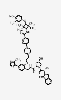 Cc1ncsc1-c1ccc(CNC(=O)[C@@H]2C[C@@H](O)CN2C(=O)[C@H](C(C)C)N2Cc3ccccc3C2=O)c(OCCN2CCN(c3ccc(C(=O)N[C@H]4C(C)(C)[C@H](Oc5ccc(C#N)c(C(F)(F)F)c5)C4(C)C)cn3)CC2)c1